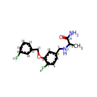 CC(NCc1ccc(F)c(OCc2cccc(F)c2)c1)C(N)=O